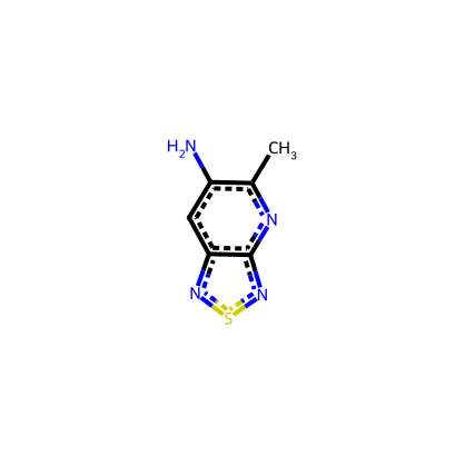 Cc1nc2nsnc2cc1N